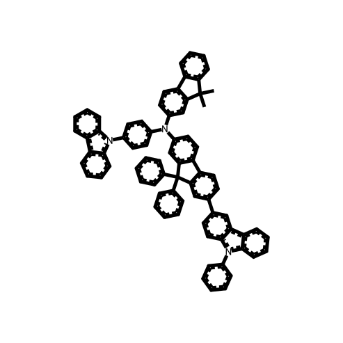 CC1(C)c2ccccc2-c2ccc(N(c3ccc(-n4c5ccccc5c5ccccc54)cc3)c3ccc4c(c3)C(c3ccccc3)(c3ccccc3)c3cc(-c5ccc6c(c5)c5ccccc5n6-c5ccccc5)ccc3-4)cc21